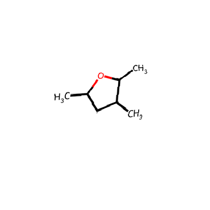 CC1[CH]C(C)C(C)O1